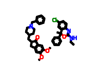 CCNC1=Nc2ccc(Cl)cc2C(C)(c2ccccc2)O1.COc1cc2c(cc1OC)C(=O)C(CC1CCN(Cc3ccccc3)CC1)C2